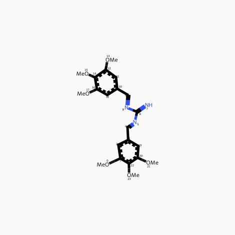 COc1cc(C=NC(=N)N=Cc2cc(OC)c(OC)c(OC)c2)cc(OC)c1OC